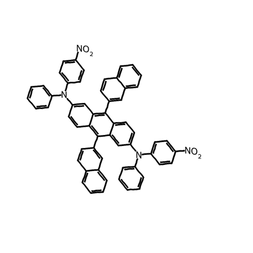 O=[N+]([O-])c1ccc(N(c2ccccc2)c2ccc3c(-c4ccc5ccccc5c4)c4cc(N(c5ccccc5)c5ccc([N+](=O)[O-])cc5)ccc4c(-c4ccc5ccccc5c4)c3c2)cc1